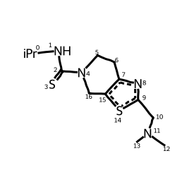 CC(C)NC(=S)N1CCc2nc(CN(C)C)sc2C1